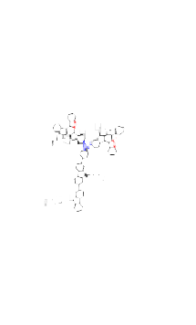 CCCCCCCC1(CCCCCCC)c2ccccc2C2C=CC(c3ccc4c(c3)C(C)(C)c3cc(-c5ccc(N(c6ccc7c(c6)C(C)(C)c6cc(-c8ccc(C)cc8C)c8oc9ccccc9c8c6-7)c6ccc7c(c6)C(C)(C)c6c8c(c9c(oc%10ccccc%109)c6-7)-c6ccccc6C8(C)C)cc5)ccc3-4)=CC21